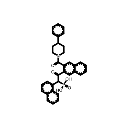 O=C(c1cc2ccccc2cc1C(=O)N1CCC(c2ccccc2)CC1)C(c1cccc2ccccc12)P(=O)(O)O